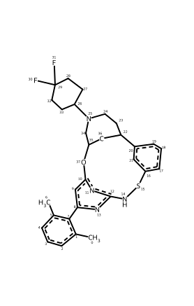 Cc1cccc(C)c1-c1cc2nc(n1)NSc1cccc(c1)C1CCN(C3CCC(F)(F)CC3)CC(C1)O2